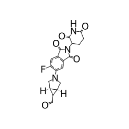 O=C[C@H]1[C@H]2CN(c3cc4c(cc3F)C(=O)N(C3CCC(=O)NC3=O)C4=O)C[C@@H]12